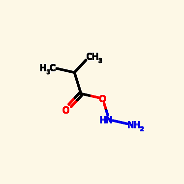 CC(C)C(=O)ONN